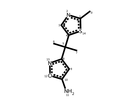 Cc1ncc(C(C)(C)c2cc(N)on2)s1